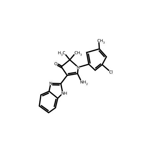 Cc1cc(Cl)cc(N2C(N)=C(c3nc4ccccc4[nH]3)C(=O)C2(C)C)c1